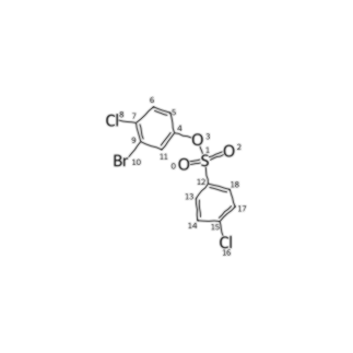 O=S(=O)(Oc1ccc(Cl)c(Br)c1)c1ccc(Cl)cc1